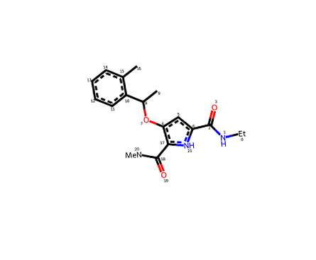 CCNC(=O)c1cc(OC(C)c2ccccc2C)c(C(=O)NC)[nH]1